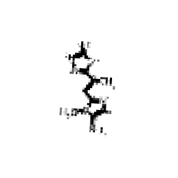 CCc1nnc(/C(C)=C/c2ncc([N+](=O)[O-])n2C)s1